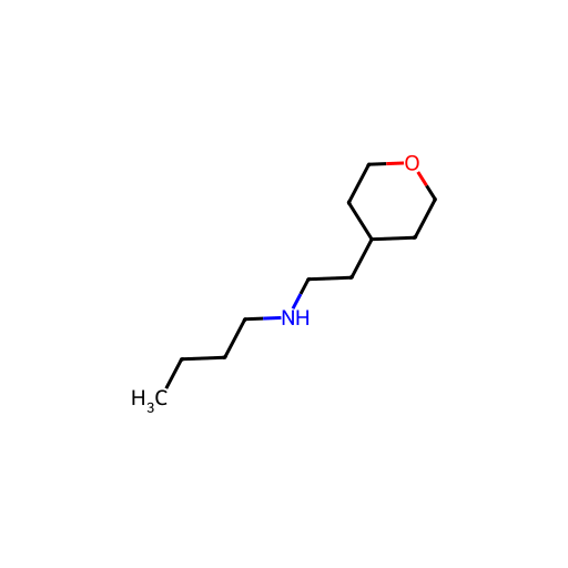 CCCCNCCC1CCOCC1